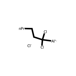 CCCCC[C]([Al+])(Cl)Cl.[Cl-]